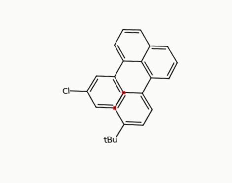 CC(C)(C)c1ccc(-c2cccc3cccc(-c4cccc(Cl)c4)c23)cc1